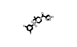 CC1(C)CN(C(=O)c2c[nH]nn2)CCN1S(=O)(=O)c1cc(F)cc(F)c1